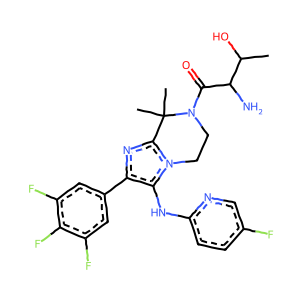 CC(O)C(N)C(=O)N1CCn2c(nc(-c3cc(F)c(F)c(F)c3)c2Nc2ccc(F)cn2)C1(C)C